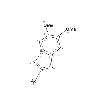 COc1cc2cc(C(C)=O)sc2cc1OC